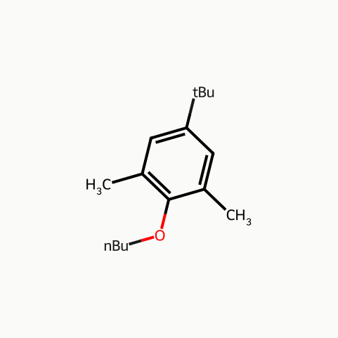 CCCCOc1c(C)cc(C(C)(C)C)cc1C